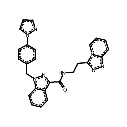 O=C(NCCc1nnc2ccccn12)c1nn(Cc2ccc(-n3cccn3)cc2)c2ccccc12